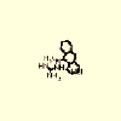 C=[N+](NC(=N)N)c1c2ccccc2cc2ccccc12.Cl